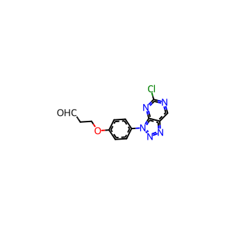 O=CCCOc1ccc(-n2nnc3cnc(Cl)nc32)cc1